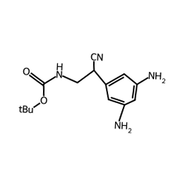 CC(C)(C)OC(=O)NCC(C#N)c1cc(N)cc(N)c1